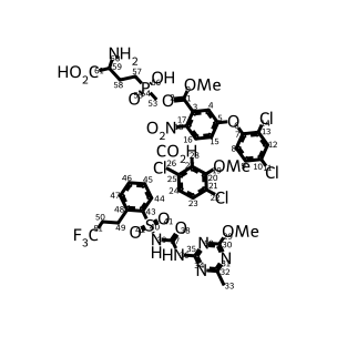 COC(=O)c1cc(Oc2ccc(Cl)cc2Cl)ccc1[N+](=O)[O-].COc1c(Cl)ccc(Cl)c1C(=O)O.COc1nc(C)nc(NC(=O)NS(=O)(=O)c2ccccc2CCC(F)(F)F)n1.CP(=O)(O)CCC(N)C(=O)O